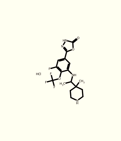 CC(Nc1cc(-c2n[nH]c(=O)o2)cc(F)c1OC(F)(F)F)C1(C)CCNCC1.Cl